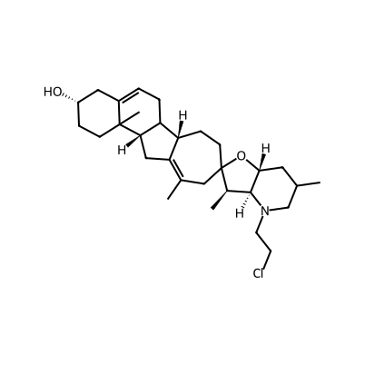 CC1=C2C[C@H]3C(CC=C4C[C@@H](O)CCC43C)[C@@H]2CCC2(C1)O[C@@H]1CC(C)CN(CCCl)[C@H]1[C@H]2C